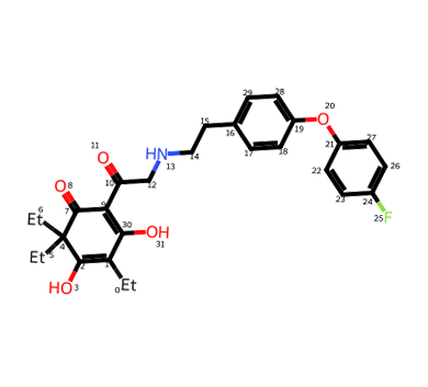 CCC1=C(O)C(CC)(CC)C(=O)C(C(=O)CNCCc2ccc(Oc3ccc(F)cc3)cc2)=C1O